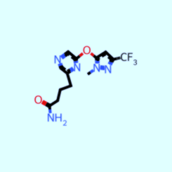 Cn1nc(C(F)(F)F)cc1Oc1cncc(CCCC(N)=O)n1